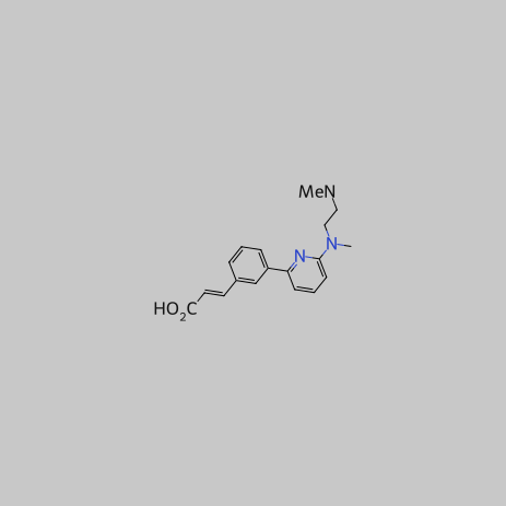 CNCCN(C)c1cccc(-c2cccc(C=CC(=O)O)c2)n1